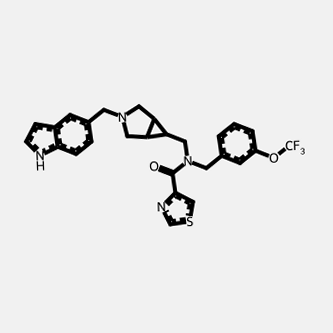 O=C(c1cscn1)N(Cc1cccc(OC(F)(F)F)c1)CC1C2CN(Cc3ccc4[nH]ccc4c3)CC21